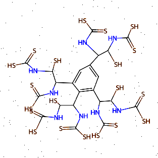 S=C(S)NC(S)C(NC(=S)S)c1cc(C(NC(=S)S)C(S)NC(=S)S)c(C(NC(=S)S)C(S)NC(=S)S)c(C(NC(=S)S)C(S)NC(=S)S)c1